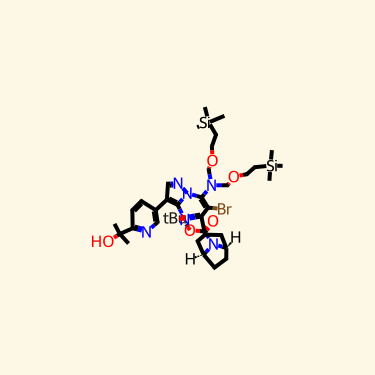 CC(C)(C)OC(=O)N1[C@@H]2CC[C@H]1CC(c1nc3c(-c4ccc(C(C)(C)O)nc4)cnn3c(N(COCC[Si](C)(C)C)COCC[Si](C)(C)C)c1Br)C2